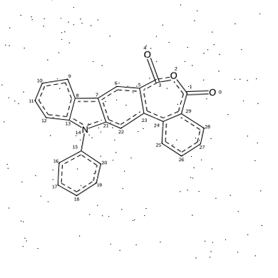 O=c1oc(=O)c2cc3c4ccccc4n(-c4ccccc4)c3cc2c2ccccc12